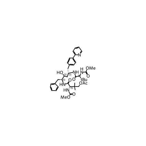 COC(=O)N[C@H](C(=O)N[C@@H](Cc1ccc(-c2ccccn2)cc1)C[C@H](O)[C@H](Cc1ccccc1)NC(=O)[C@@H](NC(=O)OC)C(C)(C)COC(C)=O)C(C)(C)C